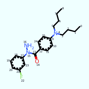 CCCCN(CCCC)c1ccc(C(=O)N(N)c2cccc(F)c2)cc1